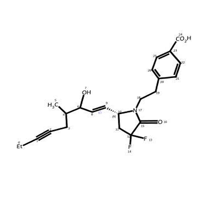 CCC#CCC(C)C(O)/C=C/[C@H]1CC(F)(F)C(=O)N1CCc1ccc(C(=O)O)cc1